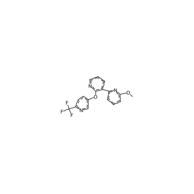 COc1cccc(-c2cccnc2Oc2ccc(C(F)(F)F)nc2)n1